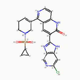 O=c1[nH]c2ccnc(C3=CCCN(S(=O)(=O)C4CC4)C3)c2cc1-c1nc2cnc(Cl)cc2[nH]1